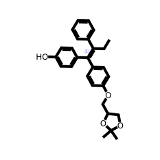 CC/C(=C(/c1ccc(O)cc1)c1ccc(OCC2COC(C)(C)O2)cc1)c1ccccc1